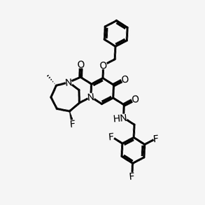 C[C@H]1CC[C@H](F)C2CN1C(=O)c1c(OCc3ccccc3)c(=O)c(C(=O)NCc3c(F)cc(F)cc3F)cn12